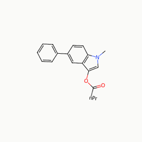 CCCC(=O)Oc1cn(C)c2ccc(-c3ccccc3)cc12